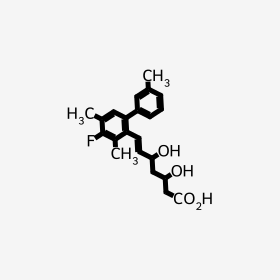 Cc1cccc(-c2cc(C)c(F)c(C)c2C=CC(O)CC(O)CC(=O)O)c1